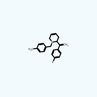 C=C(c1ccc(F)cc1)C1CC=CCN1Cc1ccc(C)cc1